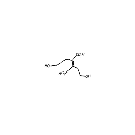 O=C(O)C(CCO)=C(CCO)C(=O)O